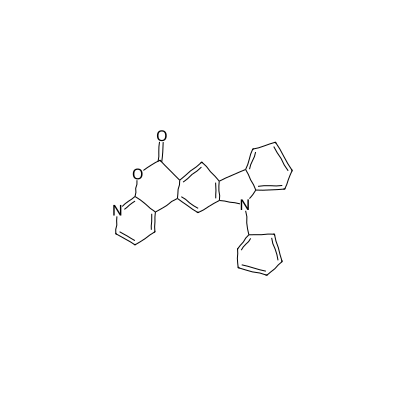 O=c1oc2ncccc2c2cc3c(cc12)c1ccccc1n3-c1ccccc1